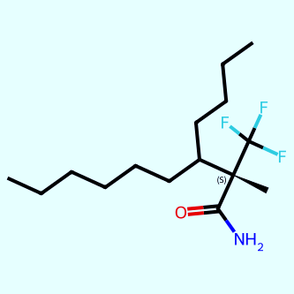 CCCCCCC(CCCC)[C@@](C)(C(N)=O)C(F)(F)F